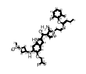 CC/C=C(\N=C/Cn1ncc(C(=O)c2cc3cc(OCC(F)F)c(NC4CN([S+](C)[O-])C4)cc3[nH]2)c1N)Oc1c(F)cccc1F